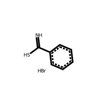 Br.N=C(S)c1ccccc1